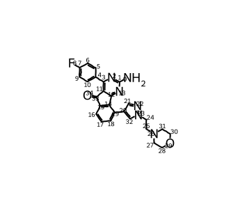 Nc1nc(-c2ccc(F)cc2)c2c(n1)-c1c(cccc1-c1cnn(CCN3CCOCC3)c1)C2=O